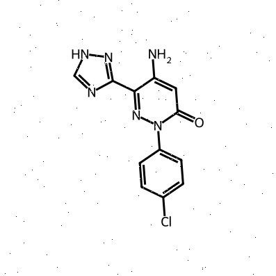 Nc1cc(=O)n(-c2ccc(Cl)cc2)nc1-c1nc[nH]n1